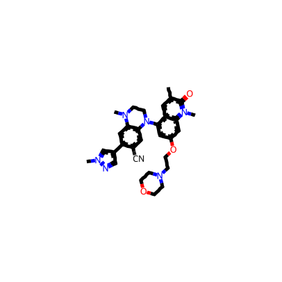 Cc1cc2c(N3CCN(C)c4cc(-c5cnn(C)c5)c(C#N)cc43)cc(OCCN3CCOCC3)cc2n(C)c1=O